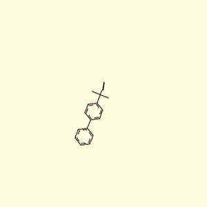 CC(C)(I)c1ccc(-c2ccccc2)cc1